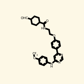 O=CC1CCC(C(=O)NCCOc2ccc(-c3cc(Nc4ccc(OC(F)(F)F)cc4)ncn3)cc2)CC1